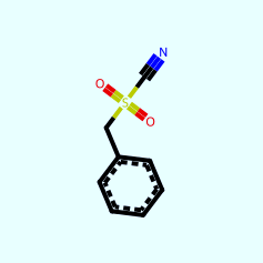 N#CS(=O)(=O)Cc1ccccc1